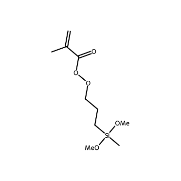 C=C(C)C(=O)OOCCC[Si](C)(OC)OC